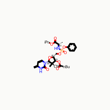 C=C1C=CN([C@@H]2O[C@H](COP(=O)(N[C@@H](C)C(=O)OC(C)C)Oc3ccccc3)[C@@H](OC(=O)CCCC)[C@@]2(C)C#N)C(=O)N1